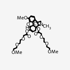 COCCOCCOCC(=O)OC1=CCC2(OC(=O)COCCOCCOC)C3N(C)CC34CC23c2c4ccc(OC)c2O[C@@H]13